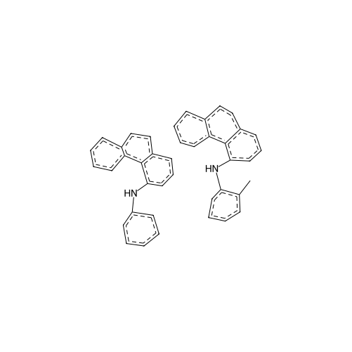 Cc1ccccc1Nc1cccc2ccc3ccccc3c12.c1ccc(Nc2cccc3ccc4ccccc4c23)cc1